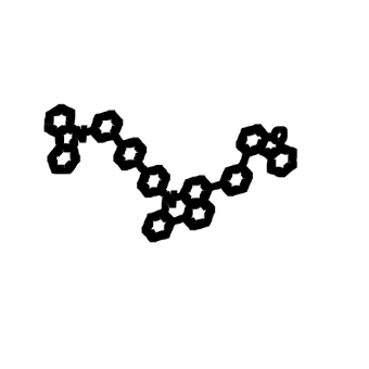 c1ccc(-c2ccccc2N(c2ccc(-c3ccc(-c4cccc(-n5c6ccccc6c6ccccc65)c4)cc3)cc2)c2ccc(-c3cccc(-c4cccc5oc6ccccc6c45)c3)cc2)cc1